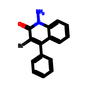 CCc1c(-c2ccccc2)c2ccccc2n(N)c1=O